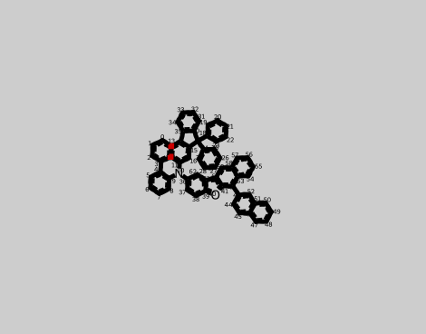 c1ccc(-c2ccccc2N(c2ccc3c(c2)C(c2ccccc2)(c2ccccc2)c2ccccc2-3)c2ccc3oc4c(-c5ccc6ccccc6c5)c5ccccc5cc4c3c2)cc1